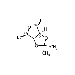 CC[C@H]1O[C@@H](F)[C@H]2OC(C)(C)OC12